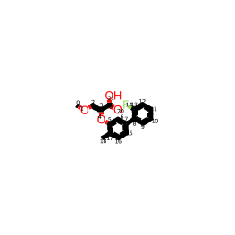 CO/C=C(\Oc1cc(-c2ccccc2F)ccc1C)C(=O)O